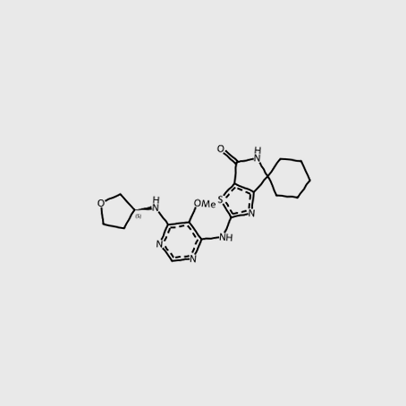 COc1c(Nc2nc3c(s2)C(=O)NC32CCCCC2)ncnc1N[C@H]1CCOC1